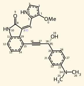 COc1cc[nH]c1/C=C1\C(=O)Nc2cccc(C#C[C@H](O)c3ccc(N(C)C)cc3)c21